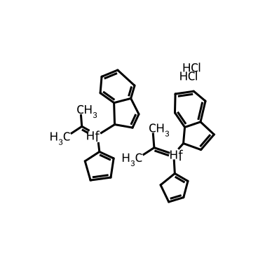 C[C](C)=[Hf]([C]1=CC=CC1)[CH]1C=Cc2ccccc21.C[C](C)=[Hf]([C]1=CC=CC1)[CH]1C=Cc2ccccc21.Cl.Cl